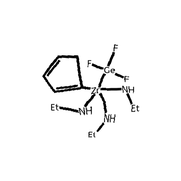 CC[NH][Zr]([NH]CC)([NH]CC)([C]1=CC=CC1)[Ge]([F])([F])[F]